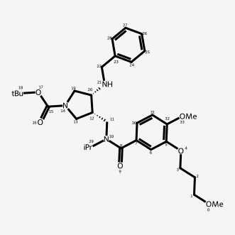 COCCCOc1cc(C(=O)N(C[C@@H]2CN(C(=O)OC(C)(C)C)C[C@@H]2NCc2ccccc2)C(C)C)ccc1OC